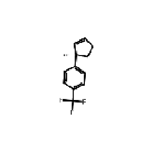 C[C@]1(c2ccc(C(F)(F)F)cc2)C=CCC1